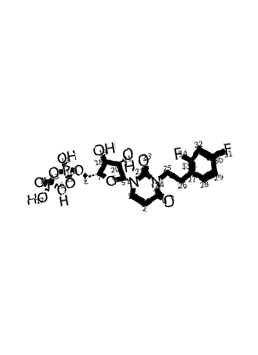 O=c1ccn([C@@H]2O[C@H](COP(=O)(O)OP(=O)(O)O)C(O)[C@@H]2O)c(=O)n1CCc1ccc(F)cc1F